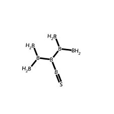 BB(B)B(B=S)B(B)B